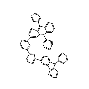 c1cccc(-c2c3ccccc3c(-c3ccccc3)c3ccc(-c4cccc(-c5cccc(-c6ccc7c(c6)c6cnccc6n7-c6ccccc6)c5)c4)cc23)c#1